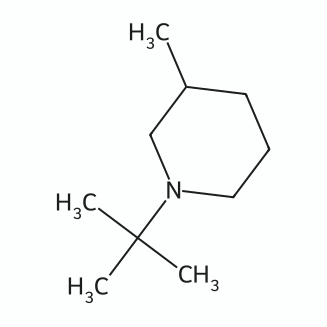 CC1CCCN(C(C)(C)C)C1